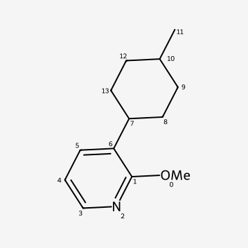 COc1ncccc1C1CCC(C)CC1